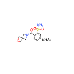 CC(=O)Nc1ccc(C(=O)N2CC3(COC3)C2)c(S(N)(=O)=O)c1